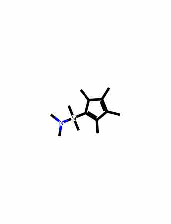 CC1=C(C)C(C)C([Si](C)(C)N(C)C)=C1C